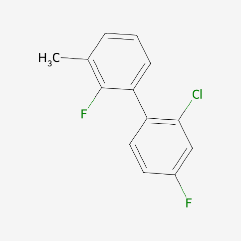 Cc1cccc(-c2ccc(F)cc2Cl)c1F